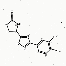 O=C1CCC(c2nc(-c3ccc(F)c(F)c3)no2)N1